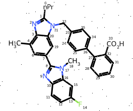 CCCc1nc2c(C)cc(-c3nc4ccc(F)cc4n3C)cc2n1Cc1ccc(-c2ccccc2C(=O)O)cc1